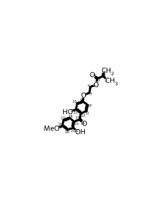 C=C(C)C(=O)OCCOc1ccc(C(=O)c2ccc(OC)cc2O)c(O)c1